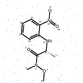 CON(C)C(=O)[C@@H](C)Nc1ccccc1[N+](=O)[O-]